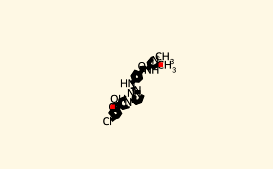 CC1CC(NC(=O)c2ccc(Nc3nc4c(N5CCC(C(=O)O)(c6ccc(Cl)cc6)CC5)cccn4n3)cc2)CCN1C